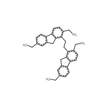 CCc1ccc2c(c1)Cc1c-2ccc(CC)c1CCc1c(CC)ccc2c1Cc1cc(CC)ccc1-2